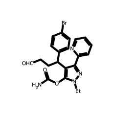 CCn1nc(-c2ccccn2)c(C(CCC=O)c2ccc(Br)cc2)c1OC(N)=O